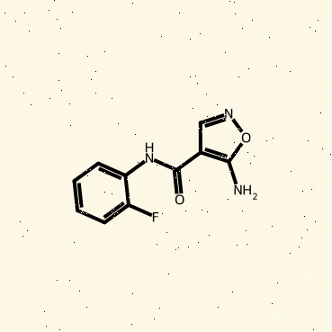 Nc1oncc1C(=O)Nc1ccccc1F